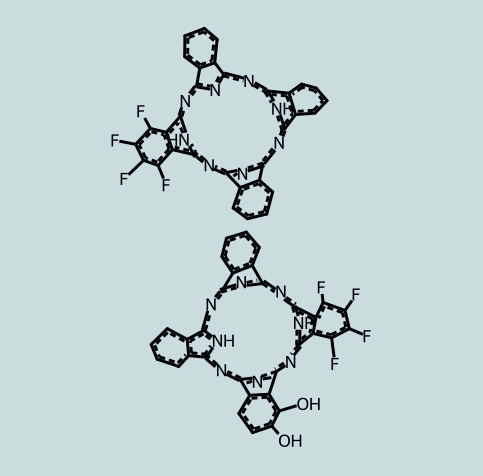 Fc1c(F)c(F)c2c3nc4nc(nc5[nH]c(nc6nc(nc([nH]3)c2c1F)-c1ccccc1-6)c1ccccc51)-c1ccccc1-4.Oc1ccc2c(c1O)-c1nc-2nc2[nH]c(nc3nc(nc4[nH]c(n1)c1c(F)c(F)c(F)c(F)c41)-c1ccccc1-3)c1ccccc21